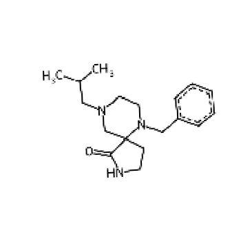 CC(C)CN1CCN(Cc2ccccc2)C2(CCNC2=O)C1